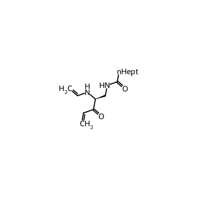 C=CN[C@@H](CNC(=O)CCCCCCC)C(=O)C=C